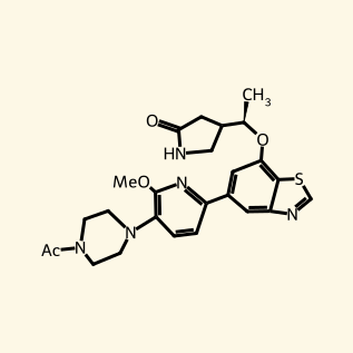 COc1nc(-c2cc(O[C@H](C)C3CNC(=O)C3)c3scnc3c2)ccc1N1CCN(C(C)=O)CC1